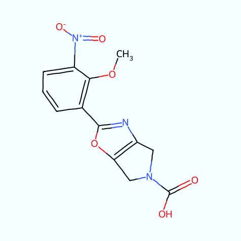 COc1c(-c2nc3c(o2)CN(C(=O)O)C3)cccc1[N+](=O)[O-]